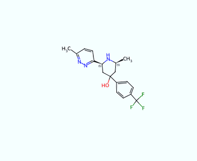 Cc1ccc([C@@H]2CC(O)(c3ccc(C(F)(F)F)cc3)C[C@H](C)N2)nn1